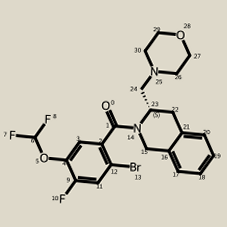 O=C(c1cc(OC(F)F)c(F)cc1Br)N1Cc2ccccc2C[C@H]1CN1CCOCC1